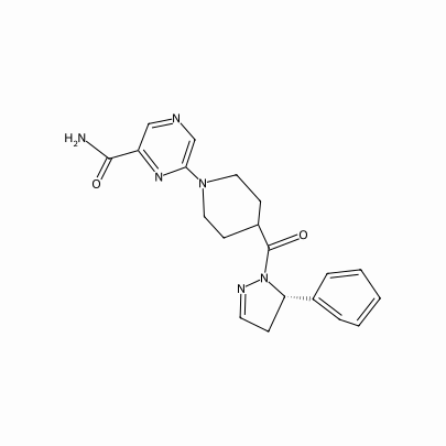 NC(=O)c1cncc(N2CCC(C(=O)N3N=CC[C@H]3c3ccccc3)CC2)n1